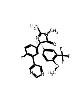 COc1ccc([C@]2(c3ccc(F)c(-c4cncnc4)c3)N=C(N)N(C)C2=O)cc1C(F)(F)F